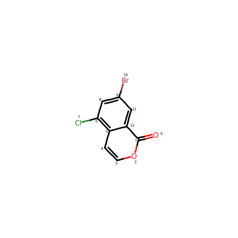 O=c1o[c]cc2c(Cl)cc(Br)cc12